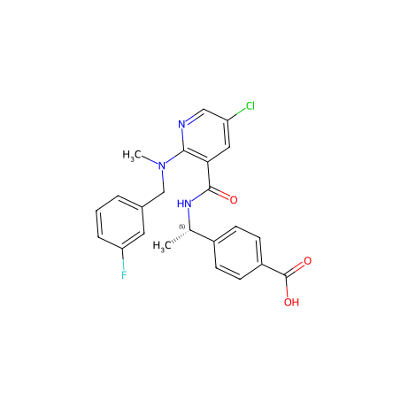 C[C@H](NC(=O)c1cc(Cl)cnc1N(C)Cc1cccc(F)c1)c1ccc(C(=O)O)cc1